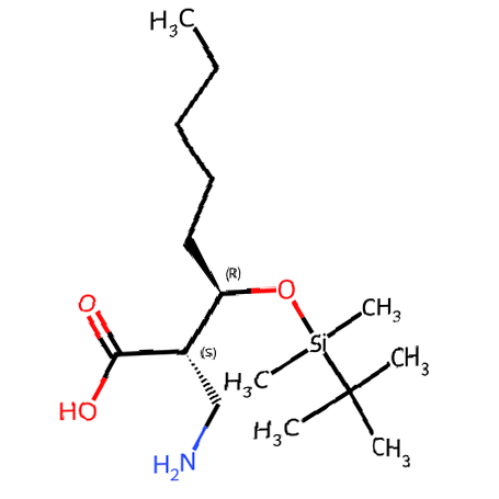 CCCCC[C@@H](O[Si](C)(C)C(C)(C)C)[C@H](CN)C(=O)O